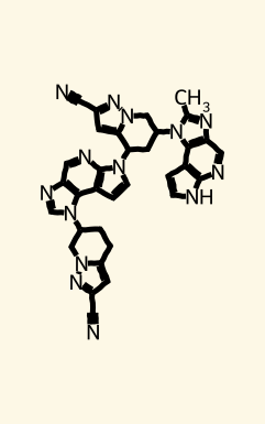 Cc1nc2cnc3[nH]ccc3c2n1C1CC(n2ccc3c4c(cnc32)ncn4C2CCc3cc(C#N)nn3C2)c2cc(C#N)nn2C1